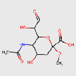 COC1(C(=O)O)CC(O)C(NC(C)=O)C(C(O)C=O)O1